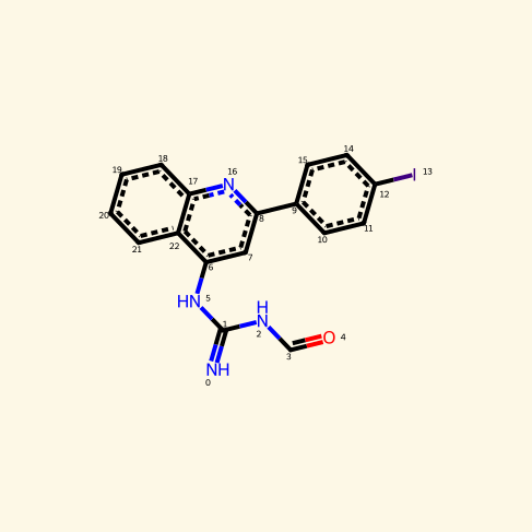 N=C(NC=O)Nc1cc(-c2ccc(I)cc2)nc2ccccc12